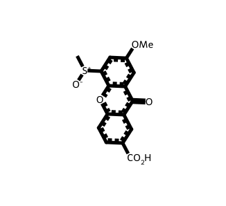 COc1cc([S+](C)[O-])c2oc3ccc(C(=O)O)cc3c(=O)c2c1